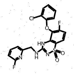 O=S1(=O)N=C(NCc2cccc(F)n2)Nc2c1ccc(F)c2Oc1ccccc1Cl